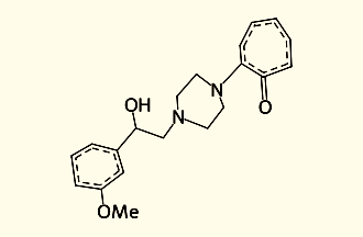 COc1cccc(C(O)CN2CCN(c3cccccc3=O)CC2)c1